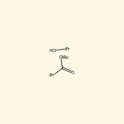 CC(C)COC(=O)C(C)C.CC(C)O